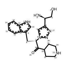 N[C@@H](CO)c1cn([C@@H](Cc2c[nH]c3ccccc23)C(=O)C2CCNCC2)nn1